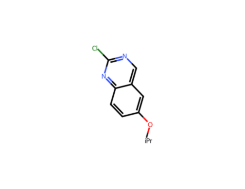 CC(C)Oc1ccc2nc(Cl)ncc2c1